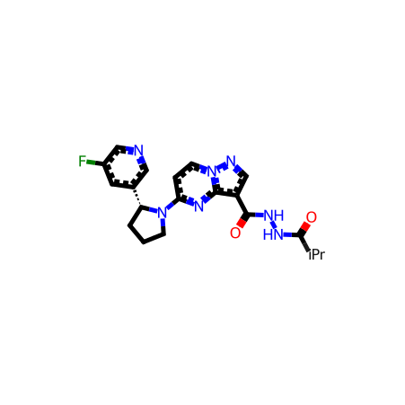 CC(C)C(=O)NNC(=O)c1cnn2ccc(N3CCC[C@@H]3c3cncc(F)c3)nc12